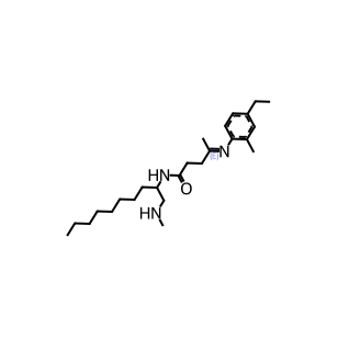 CCCCCCCCC(CNC)NC(=O)CC/C(C)=N/c1ccc(CC)cc1C